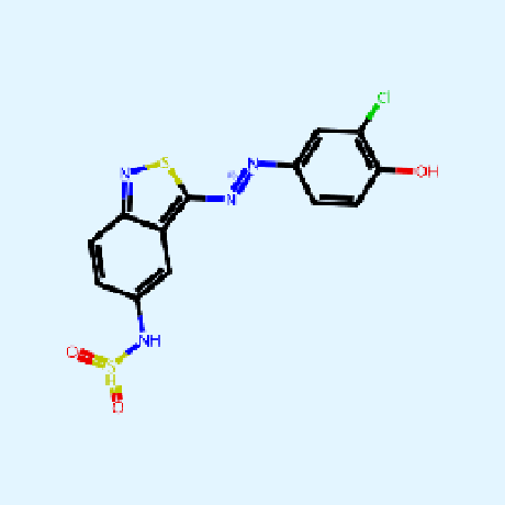 O=[SH](=O)Nc1ccc2nsc(/N=N/c3ccc(O)c(Cl)c3)c2c1